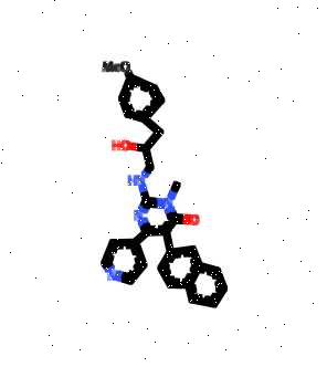 COc1ccc(CC(O)CNc2nc(-c3ccncc3)c(-c3ccc4ccccc4c3)c(=O)n2C)cc1